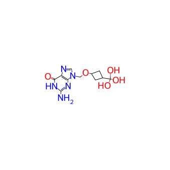 Nc1nc2c(ncn2COC2CC(C(O)(O)O)C2)c(=O)[nH]1